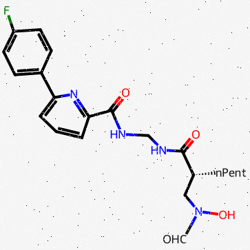 CCCCC[C@H](CN(O)C=O)C(=O)NCNC(=O)c1cccc(-c2ccc(F)cc2)n1